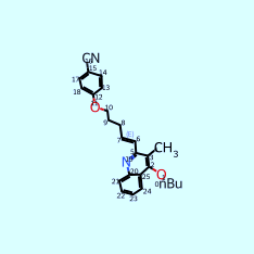 CCCCOc1c(C)c(/C=C/CCCOc2ccc(C#N)cc2)nc2ccccc12